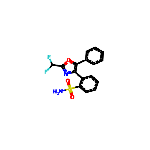 NS(=O)(=O)c1ccccc1-c1nc(C(F)F)oc1-c1ccccc1